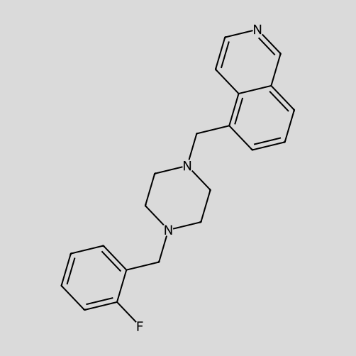 Fc1ccccc1CN1CCN(Cc2cccc3cnccc23)CC1